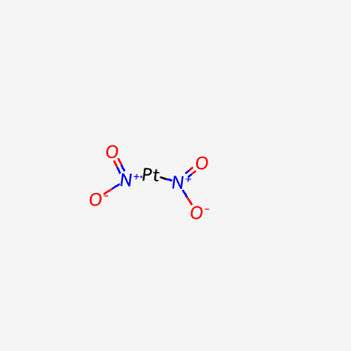 O=[N+]([O-])[Pt][N+](=O)[O-]